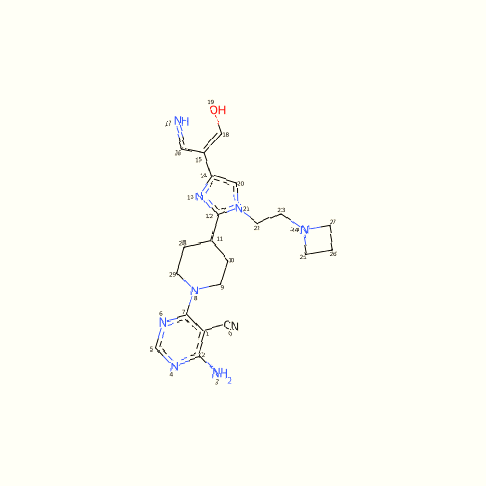 N#Cc1c(N)ncnc1N1CCC(c2nc(/C(C=N)=C/O)cn2CCN2CCC2)CC1